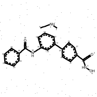 CNC.O=C(NO)c1ccc(-c2cccc(NC(=O)c3ccccc3)c2)cc1